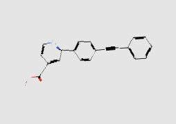 COC(=O)c1ccnc(-c2ccc(C#Cc3ccccc3)cc2)c1